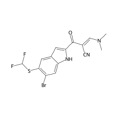 CN(C)/C=C(\C#N)C(=O)c1cc2cc(SC(F)F)c(Br)cc2[nH]1